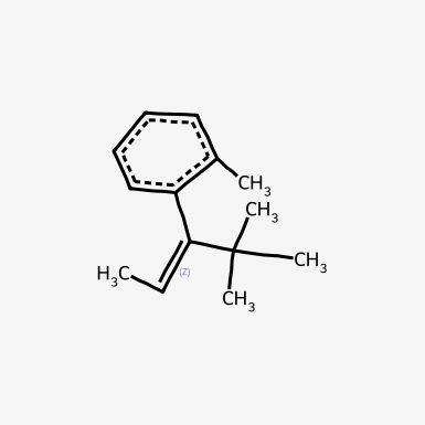 C/C=C(\c1ccccc1C)C(C)(C)C